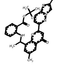 Cc1cc(C(C)Nc2ccccc2C(=O)OC(C)(C)C)c2oc(-c3ccc4nc(C)cn4n3)cc(=O)c2c1